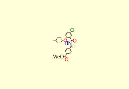 COC(=O)c1ccc([C@H](C)NC(=O)c2cc(Cl)ccc2OC2CCC(C)CC2)cc1